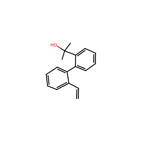 C=Cc1ccccc1-c1ccccc1C(C)(C)O